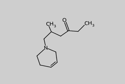 CCC(=O)CC(C)CN1CC=CCC1